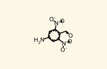 Nc1cc([N+](=O)[O-])c(C=O)c([N+](=O)[O-])c1